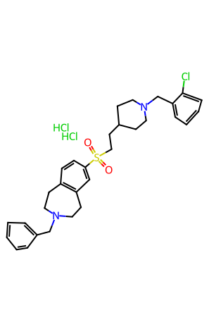 Cl.Cl.O=S(=O)(CCC1CCN(Cc2ccccc2Cl)CC1)c1ccc2c(c1)CCN(Cc1ccccc1)CC2